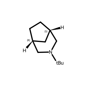 CC(C)(C)N1C[C@@H]2CC[C@@H](C2)C1